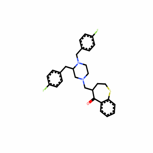 O=C1c2ccccc2SCCC1CN1CCN(Cc2ccc(F)cc2)C(Cc2ccc(F)cc2)C1